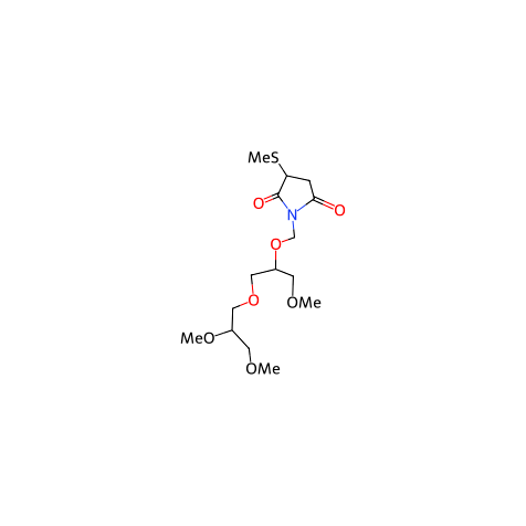 COCC(COCC(COC)OCN1C(=O)CC(SC)C1=O)OC